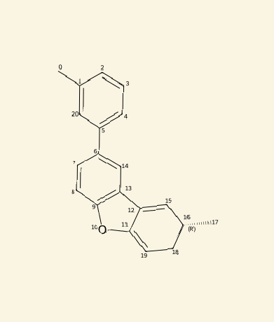 Cc1cccc(-c2ccc3oc4c(c3c2)=C[C@H](C)CC=4)c1